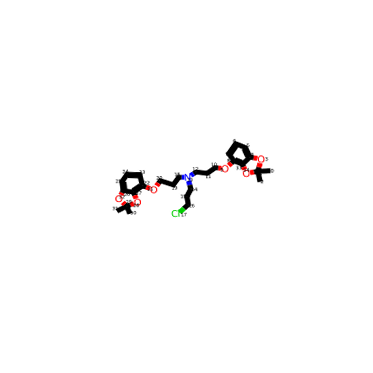 CC1(C)Oc2cccc(OCCCN(CCCCl)CCCOc3cccc4c3OC(C)(C)O4)c2O1